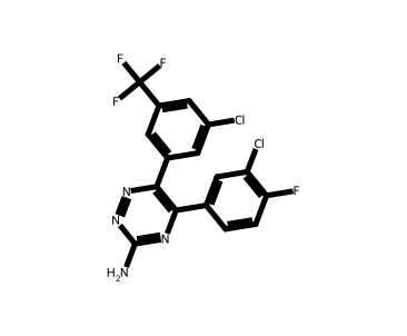 Nc1nnc(-c2cc(Cl)cc(C(F)(F)F)c2)c(-c2ccc(F)c(Cl)c2)n1